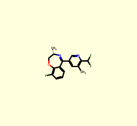 Cc1cc(C2=N[C@@H](C)COc3c(F)cccc32)cnc1C(F)F